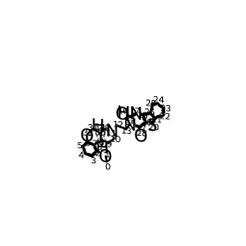 COc1cccc2c1[C@H]1CCN(CCn3c(=O)[nH]c4c(sc5ccccc54)c3=O)C[C@@H]1CO2